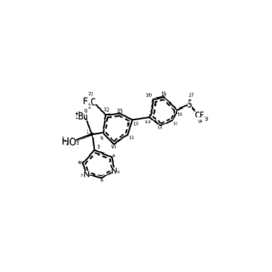 CC(C)(C)C(O)(c1cncnc1)c1ccc(-c2ccc(SC(F)(F)F)cc2)cc1C(F)(F)F